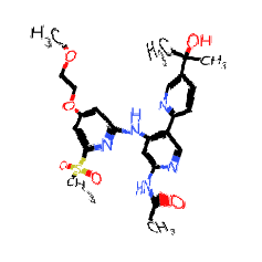 COCCOc1cc(Nc2cc(NC(C)=O)ncc2-c2ccc(C(C)(C)O)cn2)nc(S(C)(=O)=O)c1